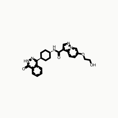 O=C(N[C@H]1CC[C@H](c2n[nH]c(=O)c3ccccc32)CC1)c1cnn2cc(OCCO)ccc12